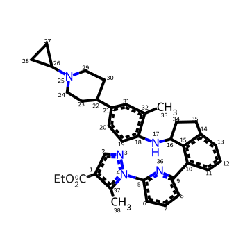 CCOC(=O)c1cnn(-c2cccc(-c3cccc4c3C(Nc3ccc(C5CCN(C6CC6)CC5)cc3C)CC4)n2)c1C